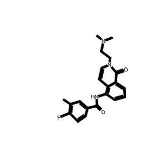 Cc1cc(C(=O)Nc2cccc3c(=O)n(CCN(C)C)ccc23)ccc1F